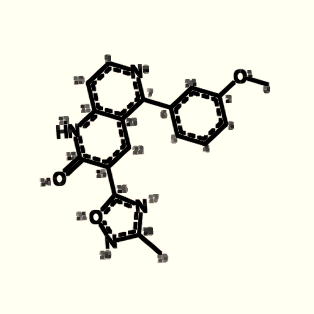 COc1cccc(-c2nccc3[nH]c(=O)c(-c4nc(C)no4)cc23)c1